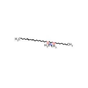 CCCCCC=CCC=CCCCCCCCCOCC(COCCCCCCCCC)N(C)C